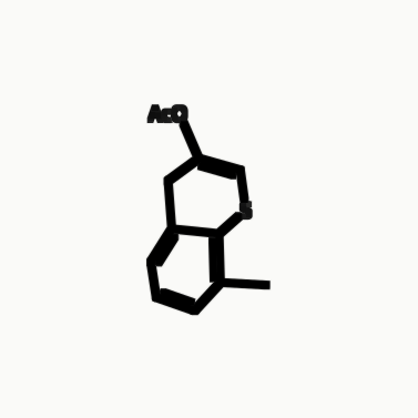 CC(=O)OC1=CSc2c(C)cccc2C1